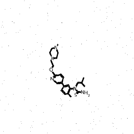 Cc1ccc(-c2ccc(OCCN3CCN(C)CC3)nc2)cc1N(CC(C)C)C(N)=S